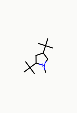 CN1CC(C(C)(C)C)CC1C(C)(C)C